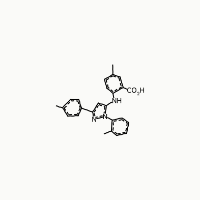 Cc1ccc(-c2cc(Nc3ccc(C)cc3C(=O)O)n(-c3ccccc3C)n2)cc1